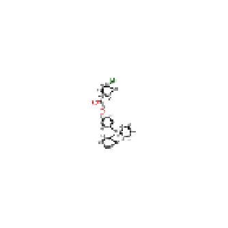 O=C(COc1ccc([C](c2ccccc2)c2ccccc2)cc1)c1ccc(Br)cc1